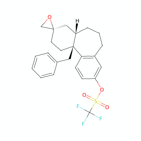 O=S(=O)(Oc1ccc2c(c1)CCC[C@H]1C[C@]3(CC[C@@]21Cc1ccccc1)CO3)C(F)(F)F